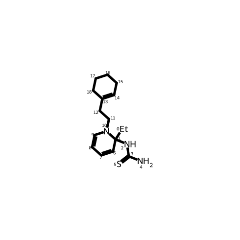 CCC1(NC(N)=S)C=CC=CN1CCC1=CCCCC1